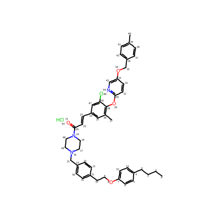 CCCCc1ccc(OCCc2ccc(CN3CCN(C(=O)C=Cc4cc(C)c(Oc5ccc(OCc6ccc(C)cc6)cn5)c(Cl)c4)CC3)cc2)cc1.Cl